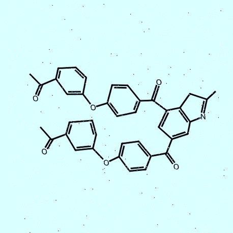 CC(=O)c1cccc(Oc2ccc(C(=O)c3cc4c(c(C(=O)c5ccc(Oc6cccc(C(C)=O)c6)cc5)c3)CC(C)=N4)cc2)c1